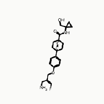 NCC(=CF)COc1ccc(C23CCC(C(=O)NC4(CO)CC4)(CC2)CC3)cc1